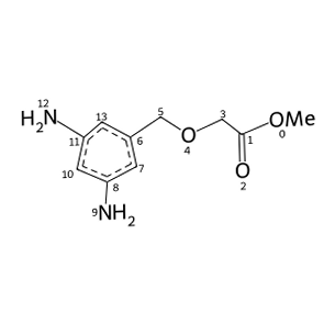 COC(=O)COCc1cc(N)cc(N)c1